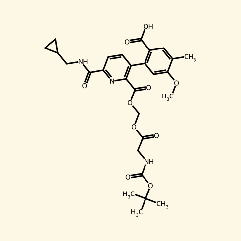 COc1cc(-c2ccc(C(=O)NCC3CC3)nc2C(=O)OCOC(=O)CNC(=O)OC(C)(C)C)c(C(=O)O)cc1C